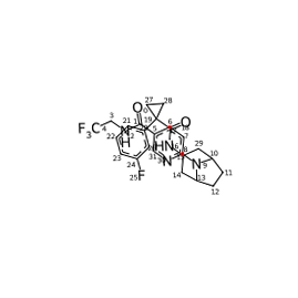 O=C(NCC(F)(F)F)c1ccc(N2C3CCC2CC(NC(=O)C2(c4cccc(F)c4)CC2)C3)nc1